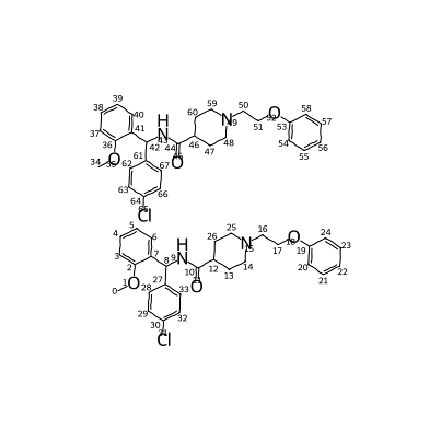 COc1ccccc1C(NC(=O)C1CCN(CCOc2ccccc2)CC1)c1ccc(Cl)cc1.COc1ccccc1C(NC(=O)C1CCN(CCOc2ccccc2)CC1)c1ccc(Cl)cc1